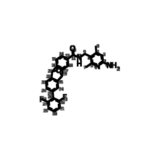 Cc1cc(N)nc(C)c1CNC(=O)c1ccc2c(c1)C1OC2c2ccc(-c3c(F)cccc3F)cc21